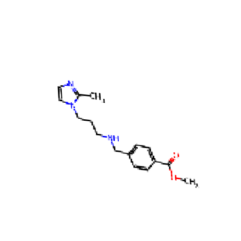 COC(=O)c1ccc(CNCCCn2ccnc2C)cc1